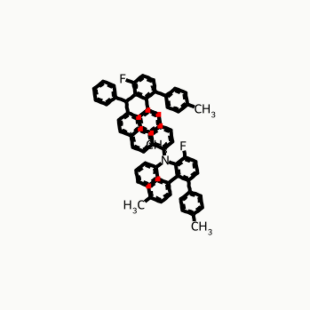 Cc1ccc(-c2ccc(F)c(C(c3ccccc3)c3ccc4ccc5c(N(c6ccccc6)c6c(F)ccc(-c7ccc(C)cc7)c6-c6ccc(C)cc6)ccc6ccc3c4c65)c2-c2ccc(C)cc2)cc1